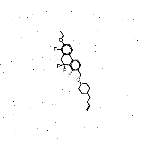 C=CCCC1CCC(OCc2ccc3c(c2F)C(F)(F)Cc2c-3ccc(OCC)c2F)CC1